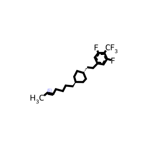 C/C=C/CCCC[C@H]1CC[C@H](CCc2cc(F)c(C(F)(F)F)c(F)c2)CC1